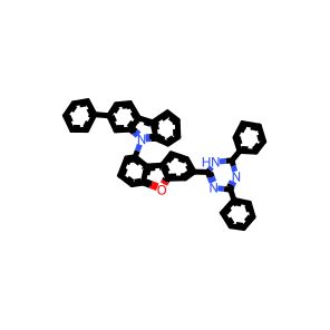 c1ccc(C2=NC(c3ccccc3)NC(c3ccc4c(c3)oc3cccc(-n5c6ccccc6c6ccc(-c7ccccc7)cc65)c34)=N2)cc1